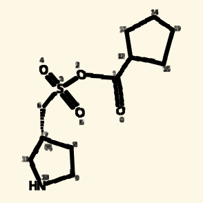 O=C(OS(=O)(=O)C[C@@H]1CCNC1)C1CCCC1